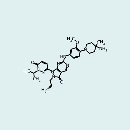 C=CCn1c(=O)c2cnc(Nc3ccc(N4CCC(C)(N)CC4)c(OC)c3)nc2n1-c1ccc(=O)n(C(C)C)n1